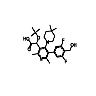 Cc1nc(C)c([C@H](OC(C)(C)C)C(=O)O)c(N2CCC(C)(C)CC2)c1-c1cc(F)c(CO)c(F)c1